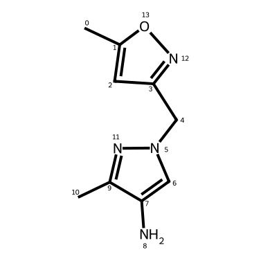 Cc1cc(Cn2cc(N)c(C)n2)no1